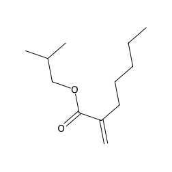 C=C(CCCCC)C(=O)OCC(C)C